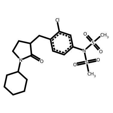 CS(=O)(=O)N(c1ccc(CC2CCN(C3CCCCC3)C2=O)c(Cl)c1)S(C)(=O)=O